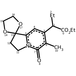 CCOC(=O)C(CC)c1cc2n(c(=O)c1C)CCC21OCCO1